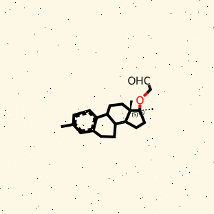 Cc1ccc2c(c1)CCC1C2CC[C@@]2(C)C1CC[C@]2(C)OCC=O